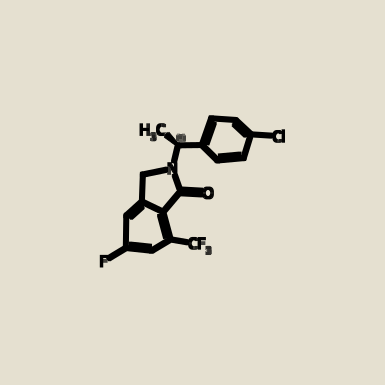 C[C@@H](c1ccc(Cl)cc1)N1Cc2cc(F)cc(C(F)(F)F)c2C1=O